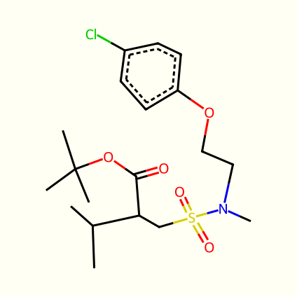 CC(C)C(CS(=O)(=O)N(C)CCOc1ccc(Cl)cc1)C(=O)OC(C)(C)C